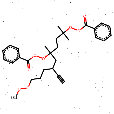 C#CC(CCCOOC(C)(C)C)CC(C)(CCC(C)(C)OOC(=O)c1ccccc1)OOC(=O)c1ccccc1